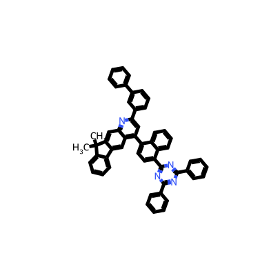 CC1(C)c2ccccc2-c2cc3c(-c4ccc(-c5nc(-c6ccccc6)nc(-c6ccccc6)n5)c5ccccc45)cc(-c4cccc(-c5ccccc5)c4)nc3cc21